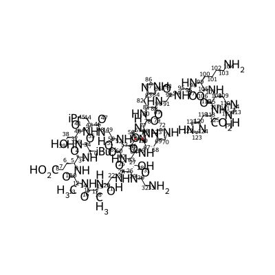 CC[C@H](C)[C@H](NC(=O)[C@H](CCC(=O)O)NC(=O)[C@H](C)NC(=O)[C@H](C)NC(=O)CNC(=O)[C@H](CO)NC(=O)CN)C(=O)N[C@@H](CO)C(=O)N[C@@H](CC(C)C)C(=O)NCC(=O)N[C@@H](Cc1c[nH]cn1)C(=O)NCC(=O)N[C@@H](Cc1c[nH]cn1)C(=O)NCC(=O)N[C@@H](Cc1c[nH]cn1)C(=O)NCC(=O)NCC(=O)N[C@@H](CCCCN)C(=O)N[C@@H](Cc1c[nH]cn1)C(=O)N[C@@H](Cc1c[nH]cn1)C(=O)O